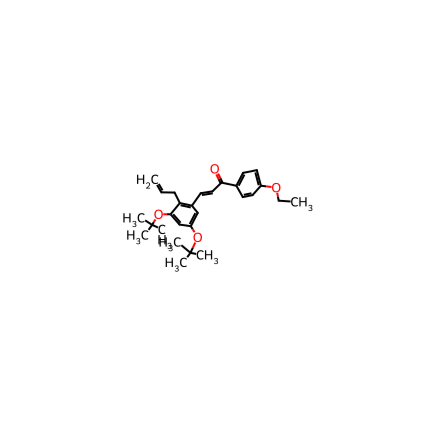 C=CCc1c(C=CC(=O)c2ccc(OCC)cc2)cc(OC(C)(C)C)cc1OC(C)(C)C